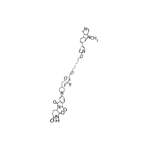 Cn1c2ccncc2c2ccc(-c3ccc(OCCCCCOCCOC(CC4CCN(c5ccc6c(c5)C(=O)N(C5CCC(=O)NC5=O)C6=O)CC4)C(F)(F)F)nc3)cc21